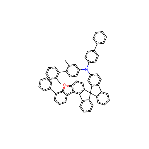 Cc1ccccc1-c1ccc(N(c2ccc(-c3ccccc3)cc2)c2ccc3c(c2)C2(c4ccccc4-3)c3ccccc3-c3c2ccc2oc4c(-c5ccccc5)cccc4c32)cc1C